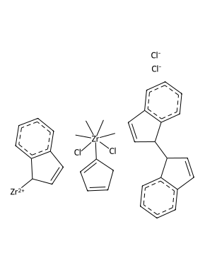 C1=CC(C2C=Cc3ccccc32)c2ccccc21.[CH3][Zr]([CH3])([CH3])([CH3])([Cl])([Cl])[C]1=CC=CC1.[Cl-].[Cl-].[Zr+2][CH]1C=Cc2ccccc21